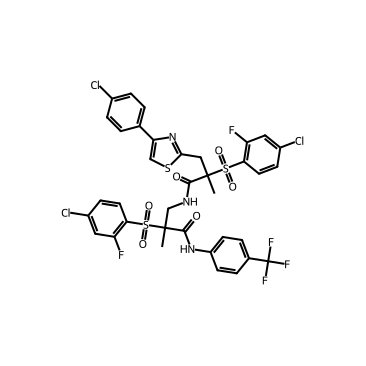 CC(Cc1nc(-c2ccc(Cl)cc2)cs1)(C(=O)NCC(C)(C(=O)Nc1ccc(C(F)(F)F)cc1)S(=O)(=O)c1ccc(Cl)cc1F)S(=O)(=O)c1ccc(Cl)cc1F